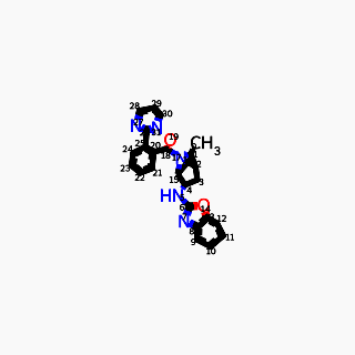 CC1C2CC(Nc3nc4ccccc4o3)C(C2)N1C(=O)c1ccccc1-c1ncccn1